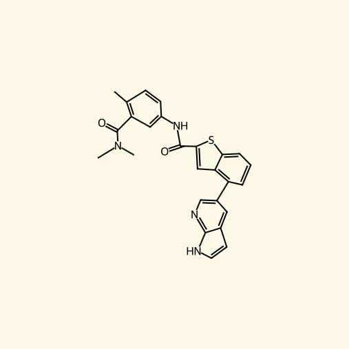 Cc1ccc(NC(=O)c2cc3c(-c4cnc5[nH]ccc5c4)cccc3s2)cc1C(=O)N(C)C